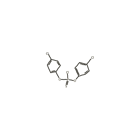 S=P(Cl)(Oc1ccc(Cl)cc1)Oc1ccc(Cl)cc1